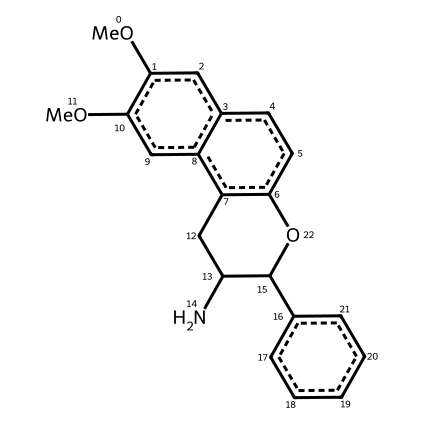 COc1cc2ccc3c(c2cc1OC)CC(N)C(c1ccccc1)O3